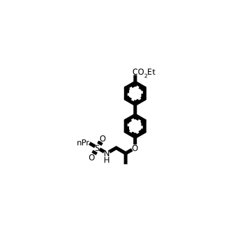 CCCS(=O)(=O)NCC(C)Oc1ccc(-c2ccc(C(=O)OCC)cc2)cc1